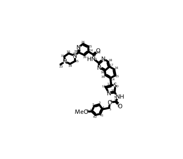 COc1ccc(COC(=O)Nc2ncc(-c3ccc4cnc(NC(=O)c5ccnc(N6CCN(C)CC6)c5)nc4c3)s2)cc1